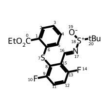 CCOC(=O)c1ccccc1Sc1c(F)ccc(F)c1/C=N/[S+]([O-])C(C)(C)C